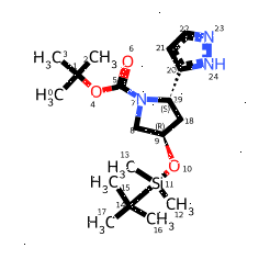 CC(C)(C)OC(=O)N1C[C@H](O[Si](C)(C)C(C)(C)C)C[C@H]1c1ccn[nH]1